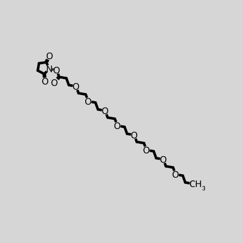 CCCOCCOCCOCCOCCOCCOCCOCCOCCC(=O)ON1C(=O)CCC1=O